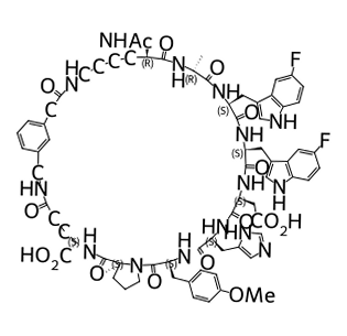 COc1ccc(C[C@@H]2NC(=O)[C@H](Cc3cnc[nH]3)NC(=O)[C@H](CC(=O)O)NC(=O)[C@H](Cc3c[nH]c4ccc(F)cc34)NC(=O)[C@H](Cc3c[nH]c4ccc(F)cc34)NC(=O)[C@@H](C)NC(=O)[C@H](NC(C)=O)CCCCNC(=O)Cc3cccc(c3)CNC(=O)CC[C@@H](C(=O)O)NC(=O)[C@]3(C)CCCN3C2=O)cc1